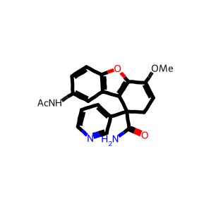 COC1=CCC(C(N)=O)(c2cccnc2)c2c1oc1ccc(NC(C)=O)cc21